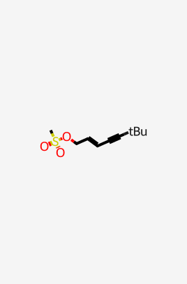 CC(C)(C)C#CC=CCOS(C)(=O)=O